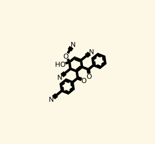 N#COC1(O)C=C(C#N)C(C(=O)c2ccccc2)=C(C(=O)c2ccc(C#N)cc2)C1C#N